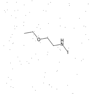 CCOCCNI